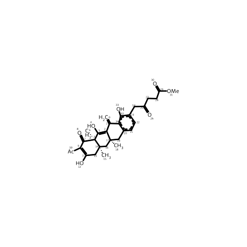 C=C1C2=C(O)[C@]3(C)C(=O)C(C(C)=O)=C(O)C[C@]3(C)C[C@]2(C)Cc2ccc(CC(=O)CCC(=O)OC)c(O)c21